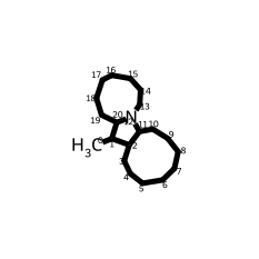 CC1C2CCCCCCCCC2N2CCCCCCCC12